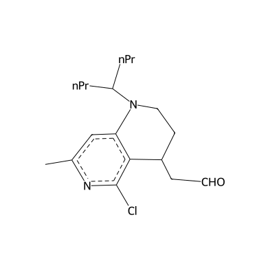 CCCC(CCC)N1CCC(CC=O)c2c1cc(C)nc2Cl